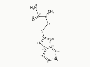 CC(CSc1nc2ccccc2s1)C(N)=O